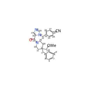 COCC1(Cc2cccc(C)c2)CCN(C(=O)c2cncn2Cc2ccc(C#N)cc2)CC1